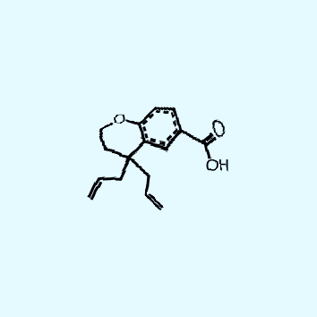 C=CCC1(CC=C)CCOc2ccc(C(=O)O)cc21